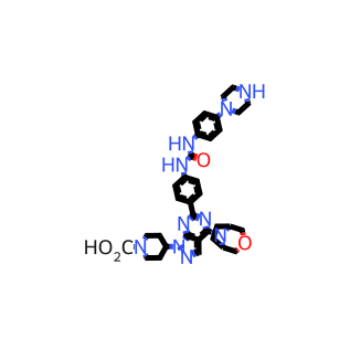 O=C(Nc1ccc(-c2nc(N3C4CCC3COC4)c3cnn(C4CCN(C(=O)O)CC4)c3n2)cc1)Nc1ccc(N2CCNCC2)cc1